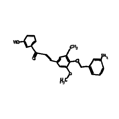 COc1cc(/C=C/C(=O)c2cccc(O)c2)cc(C)c1OCc1cccc(C)c1